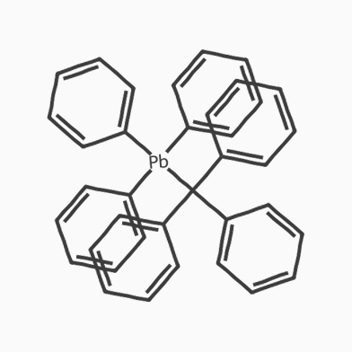 c1ccc([C](c2ccccc2)(c2ccccc2)[Pb]([c]2ccccc2)([c]2ccccc2)[c]2ccccc2)cc1